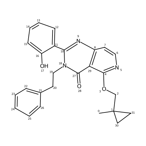 CC1(COc2nccc3nc(-c4ccccc4O)n(CCc4ccccc4)c(=O)c23)CC1